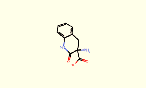 NC1(C(=O)O)Cc2ccccc2NC1=O